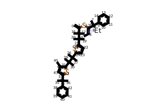 C=C(S/C(=C\C)C(C)(CC)c1ccccc1)C(C)(C)C(C)(C)c1ccc(C(C)(C)C(C)(C)c2sc(C(C)(C)c3ccccc3)cc2C)s1